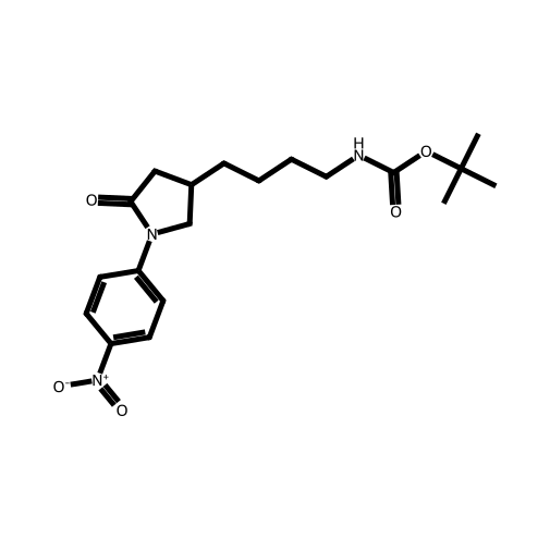 CC(C)(C)OC(=O)NCCCCC1CC(=O)N(c2ccc([N+](=O)[O-])cc2)C1